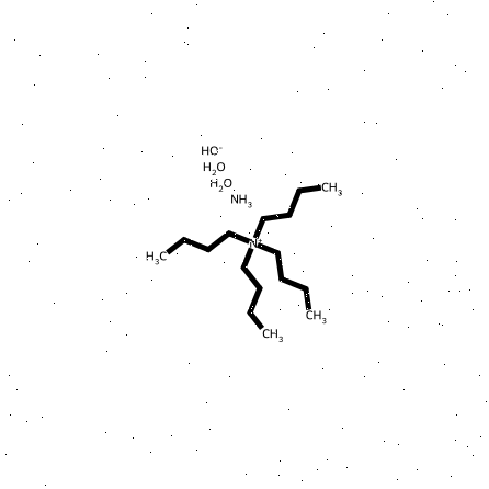 CCCC[N+](CCCC)(CCCC)CCCC.N.O.O.[OH-]